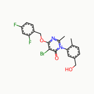 Cc1ccc(CO)cc1-n1c(C)nc(OCc2ccc(F)cc2F)c(Br)c1=O